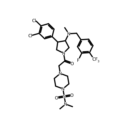 CN(Cc1ccc(C(F)(F)F)c(F)c1)C1CN(C(=O)CN2CCN(S(=O)(=O)N(C)C)CC2)CC1c1ccc(Cl)c(Cl)c1